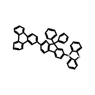 c1ccc(C2(c3ccccc3)c3cc(-c4ccc5c6ccccc6c6ccccc6c5c4)ccc3-c3ccc(N4c5ccccc5Sc5ccccc54)cc32)cc1